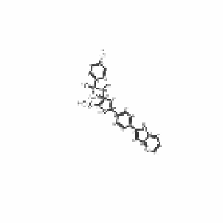 COP(=O)(c1ccc(Cl)cc1)N(C)c1cc(-c2ccc(-c3cc4ncccc4o3)cc2)sc1C(=O)O